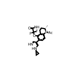 CC(=O)N1c2ccc(/C(C=N)=C/NC3CC3)c(OC(F)(F)C(N)=O)c2CC[C@@H]1C